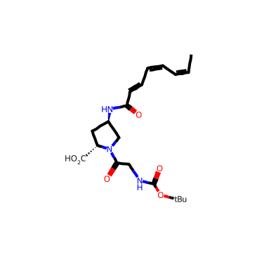 C\C=C/C=C\C=C\C(=O)N[C@@H]1C[C@@H](C(=O)O)N(C(=O)CNC(=O)OC(C)(C)C)C1